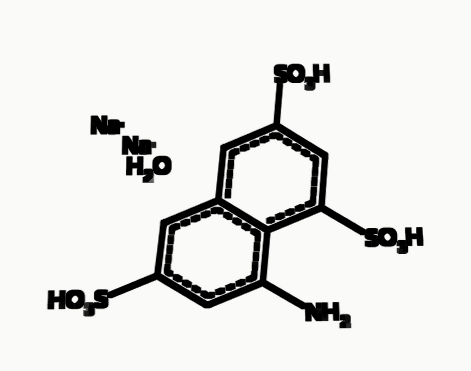 Nc1cc(S(=O)(=O)O)cc2cc(S(=O)(=O)O)cc(S(=O)(=O)O)c12.O.[Na].[Na]